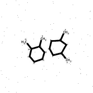 CC1CCCC(C)C1.CC1CCCCC1C